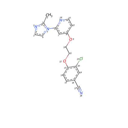 Cc1nccn1-c1cc(OCCOc2ccc(C#N)cc2Cl)ccn1